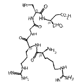 CC(C)C[C@H](NC(=O)CNC(=O)[C@H](CCCNC(=N)N)NC(=O)[C@@H](N)CCCNC(=N)N)C(=O)N[C@H]([C]=O)CC(=O)O